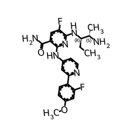 CC[C@@H](Nc1nc(Nc2ccnc(-c3ccc(OC)cc3F)c2)c(C(N)=O)cc1F)[C@H](C)N